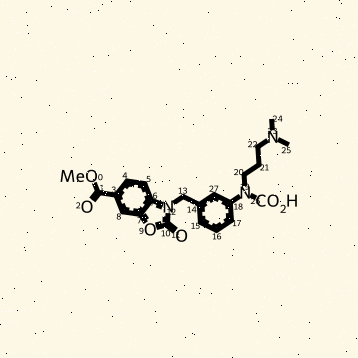 COC(=O)c1ccc2c(c1)oc(=O)n2Cc1cccc(N(CCCN(C)C)C(=O)O)c1